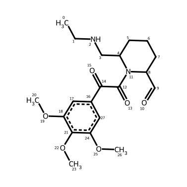 CCNCC1CCCC(C=O)N1C(=O)C(=O)c1cc(OC)c(OC)c(OC)c1